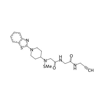 C#CCNC(=O)CNC(=O)CN(SC)C1CCN(c2nc3ccccc3s2)CC1